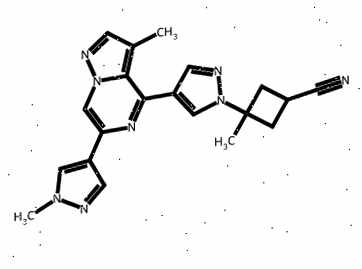 Cc1cnn2cc(-c3cnn(C)c3)nc(-c3cnn(C4(C)CC(C#N)C4)c3)c12